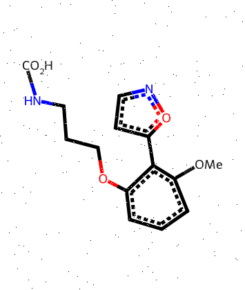 COc1cccc(OCCCNC(=O)O)c1-c1ccno1